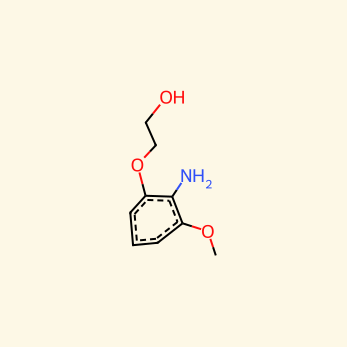 COc1cccc(OCCO)c1N